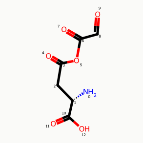 N[C@@H](CC(=O)OC(=O)C=O)C(=O)O